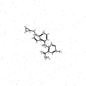 NC(=O)c1cc(F)cnc1Nc1ccnc2c1ccn2CC1CC1